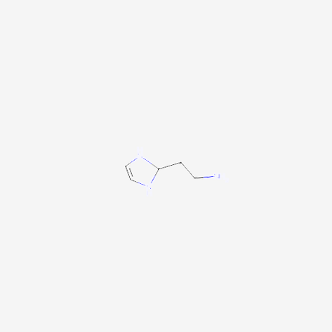 NCCC1NC=CN1